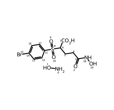 NO.O=C(CCC(C(=O)O)S(=O)(=O)c1ccc(Br)cc1)NO